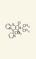 CC(C)N1C(=O)C(Sc2ccccn2)=C(SC2(C)CC=CC=N2)C1=O